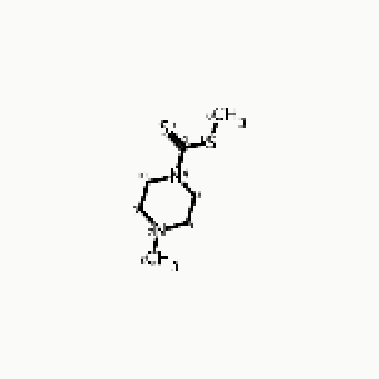 CSC(=S)N1CCN(C)CC1